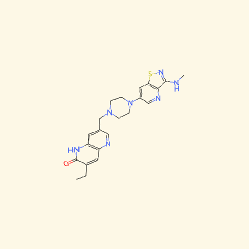 CCc1cc2ncc(CN3CCN(c4cnc5c(NC)nsc5c4)CC3)cc2[nH]c1=O